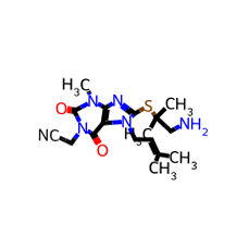 CC(C)=CCn1c(SC(C)(C)CN)nc2c1c(=O)n(CC#N)c(=O)n2C